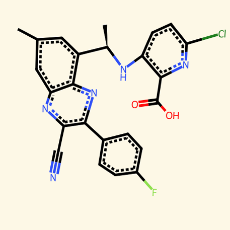 Cc1cc([C@@H](C)Nc2ccc(Cl)nc2C(=O)O)c2nc(-c3ccc(F)cc3)c(C#N)nc2c1